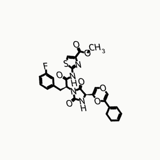 COC(=O)c1csc(NC(=O)[C@H](Cc2cccc(F)c2)N2C(=O)N[C@H](C3=COC=C(C4=CC=CCC4)O3)C2=O)n1